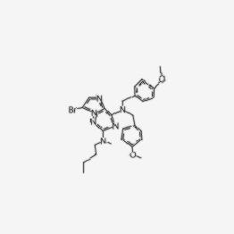 CCCCN(C)c1nc(N(Cc2ccc(OC)cc2)Cc2ccc(OC)cc2)c2ncc(Br)n2n1